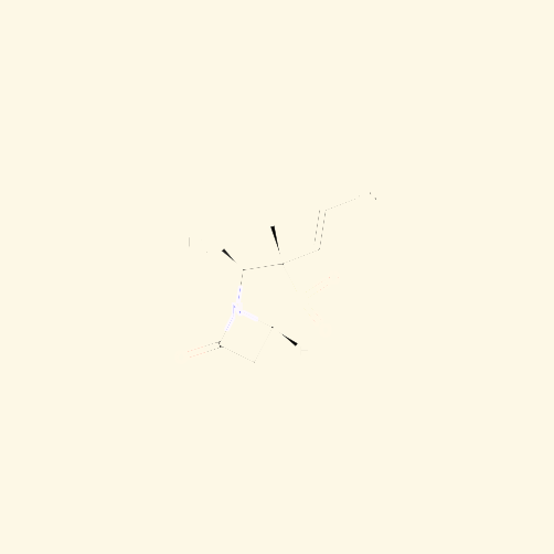 C[C@]1(/C=C/C#N)[C@H](C(=O)O)N2C(=O)C[C@H]2S1(=O)=O